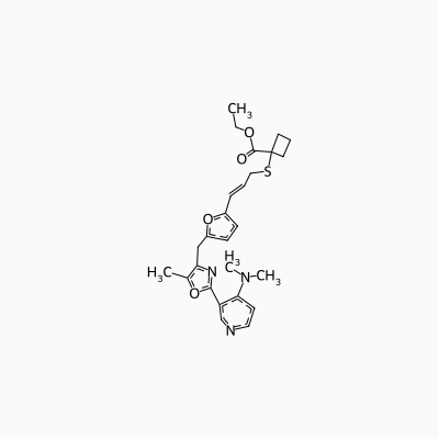 CCOC(=O)C1(SCC=Cc2ccc(Cc3nc(-c4cnccc4N(C)C)oc3C)o2)CCC1